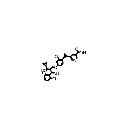 N=C(/C(COc1ccc(C2CC2c2cncc(C(=O)O)c2)c(Cl)c1)=C(\O)C1CC1)c1c(Cl)cccc1Cl